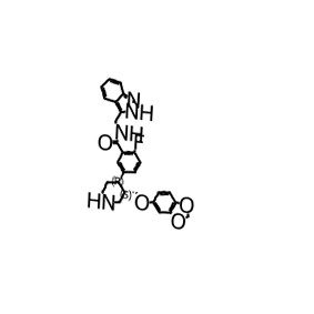 O=C(NCc1[nH]nc2ccccc12)c1cc([C@@H]2CCNC[C@H]2COc2ccc3c(c2)OCO3)ccc1F